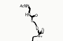 CC(=O)NCNC(=O)OCOC(=O)NCNC(C)=O